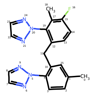 Cc1ccc(-n2nccn2)c(Cc2ccc(F)c(C)c2-n2nccn2)c1